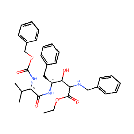 CCOC(=O)C(NCc1ccccc1)C(O)[C@H](Cc1ccccc1)NC(=O)[C@@H](NC(=O)OCc1ccccc1)C(C)C